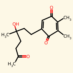 CC(=O)CCC(C)(O)CCC1=CC(=O)C(C)=C(C)C1=O